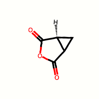 O=C1OC(=O)[C@H]2CC12